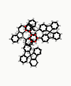 C1=CC2=C(CC1)c1ccccc1C21c2ccccc2-c2ccc(-c3nc(-c4ccc5c(c4)C4(c6ccccc6-5)c5ccccc5-c5ccc(-n6c7ccccc7c7ccccc76)cc54)nc(-n4c5c(c6ccccc64)C=CC4c6ccccc6N(c6ccccc6)C54)n3)cc21